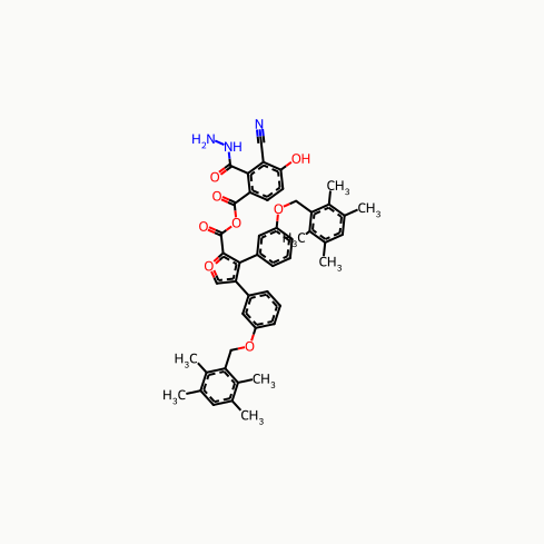 Cc1cc(C)c(C)c(COc2cccc(-c3coc(C(=O)OC(=O)c4ccc(O)c(C#N)c4C(=O)NN)c3-c3cccc(OCc4c(C)c(C)cc(C)c4C)c3)c2)c1C